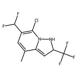 CC1=CC(C(F)F)=C(Cl)N2NC(C(F)(F)F)C=C12